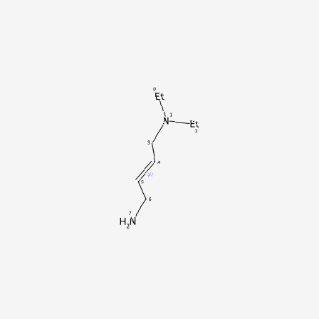 CCN(CC)C/C=C/CN